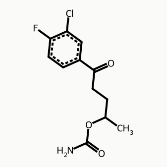 CC(CCC(=O)c1ccc(F)c(Cl)c1)OC(N)=O